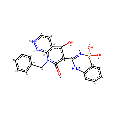 O=c1c(C2=NS(O)(O)c3ccccc3N2)c(O)c2ccnnc2n1Cc1ccccc1